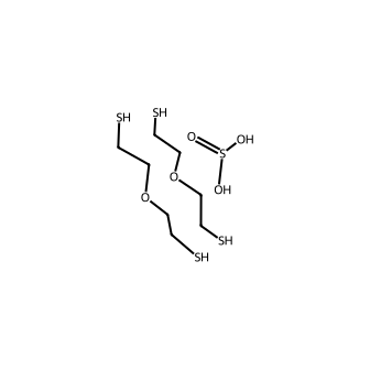 O=S(O)O.SCCOCCS.SCCOCCS